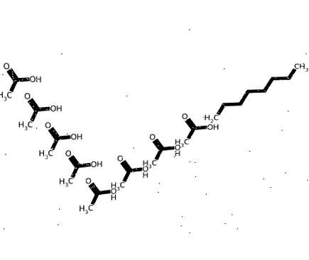 CC(=O)O.CC(=O)O.CC(=O)O.CC(=O)O.CC(=O)O.CC(=O)O.CC(=O)O.CC(=O)O.[CH2]CCCCCCC